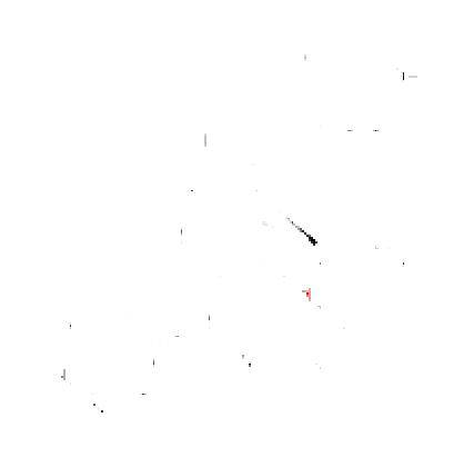 Cc1nc(-c2ccnnc2)c2c(n1)[C@@]1(c3ccccc3)C/C(=C/O)C(=O)[C@@H](C)[C@@H]1CC2